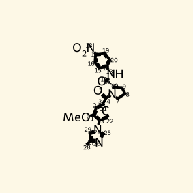 COc1cc(C(=O)N2CCC[C@H]2C(=O)Nc2ccc([N+](=O)[O-])cc2)ccc1-n1cnc(C)c1